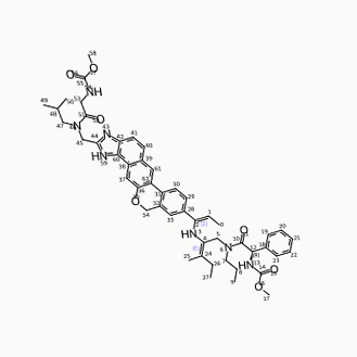 C/C=C(\N/C(CN(CCC)C(=O)[C@H](NC(=O)OC)c1ccccc1)=C(\C)CC)c1ccc2c(c1)COc1cc3c(ccc4nc(CN(CC(C)C)C(=O)CNC(=O)OC)[nH]c43)cc1-2